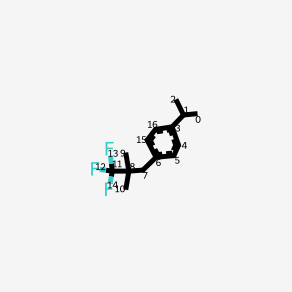 CC(C)c1ccc(CC(C)(C)C(F)(F)F)cc1